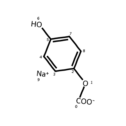 O=C([O-])Oc1ccc(O)cc1.[Na+]